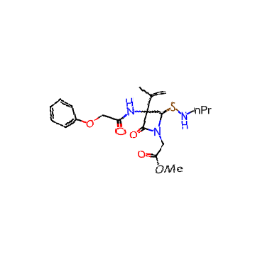 C=C(C)C1(NC(=O)COc2ccccc2)C(=O)N(CC(=O)OC)C1SNCCC